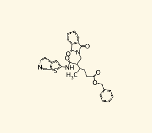 CC(CCC(=O)OCc1ccccc1)C(CN1C(=O)c2ccccc2C1=O)C(=O)Nc1cc2ccncc2s1